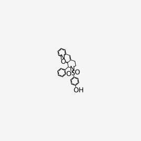 O=C1/C(=C\c2ccccn2)CCN(S(=O)(=O)c2ccc(O)cc2)C1c1ccccc1